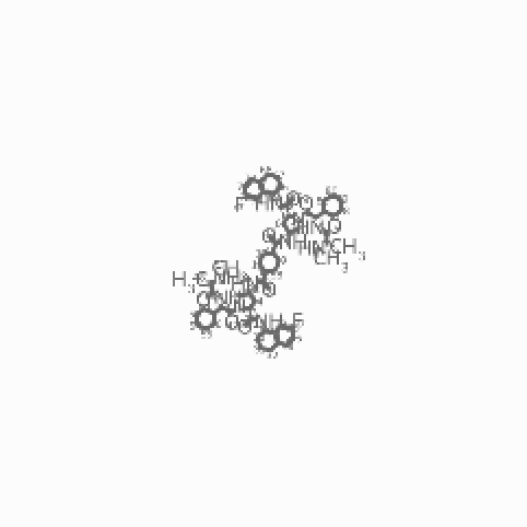 CN[C@@H](C)C(=O)N[C@H](C(=O)N1C[C@@H](NC(=O)C2CCC(C(=O)N[C@H]3C[C@@H](C(=O)N[C@@H]4CCCc5ccc(F)cc54)N(C(=O)[C@@H](NC(=O)[C@H](C)NC)C4CCCCC4)C3)CC2)C[C@H]1C(=O)N[C@@H]1CCCc2ccc(F)cc21)C1CCCCC1